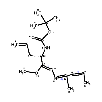 C=CC[C@H](NC(=O)OC(C)(C)C)/C(=N/N=C(C)\C=C/C)OC